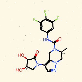 C[C@H]1Cn2ncc(N3C[C@@H](O)C(O)C3=O)c2CN1C(=O)Nc1cc(F)c(F)c(F)c1